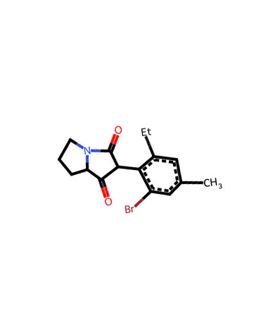 CCc1cc(C)cc(Br)c1C1C(=O)C2CCCN2C1=O